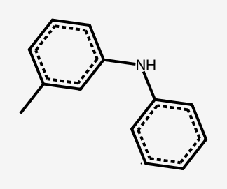 Cc1cccc(Nc2c[c]ccc2)c1